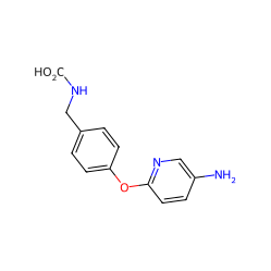 Nc1ccc(Oc2ccc(CNC(=O)O)cc2)nc1